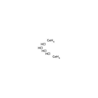 Cl.Cl.Cl.Cl.[GeH4].[GeH4]